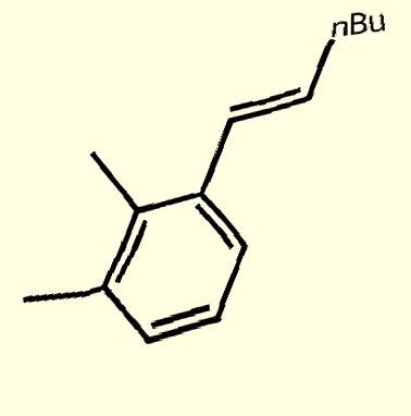 CCCCC=Cc1cccc(C)c1C